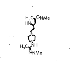 CN/N=C(/C)NN1CCN(/C=C/C(=N)/C=C(\C)ONC)CC1